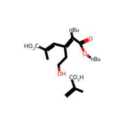 C=C(C)C(=O)O.CCCCOC(=O)C(CCCC)=C(C=C(C)C(=O)O)CCO